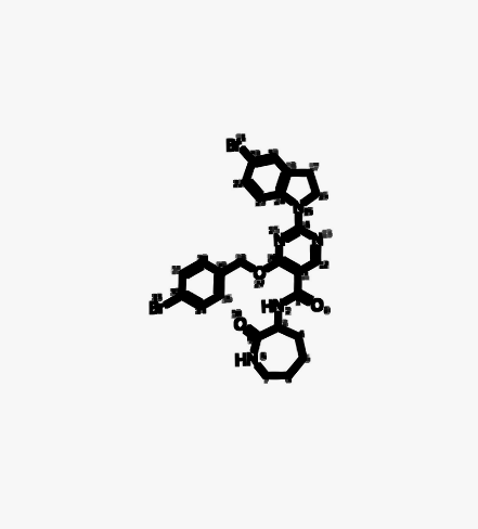 O=C(NC1CCCCNC1=O)c1cnc(N2CCc3cc(Br)ccc32)nc1OCc1ccc(Br)cc1